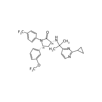 CC(C)(N[C@@H]1C[C@H](c2cccc(OC(F)(F)F)c2)N(c2ccc(C(F)(F)F)cc2)C1=O)c1ccnc(C2CC2)n1